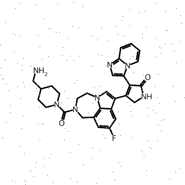 NCC1CCN(C(=O)N2CCn3cc(C4=C(c5cnc6ccccn56)C(=O)NC4)c4cc(F)cc(c43)C2)CC1